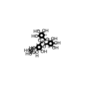 O=C(c1cc(O)c(O)c(O)c1)N(C(=O)c1cc(O)c(O)c(O)c1)C(=O)c1cc(O)c(O)c(O)c1.O=P(O)(O)O